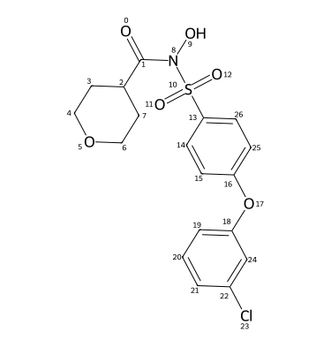 O=C(C1CCOCC1)N(O)S(=O)(=O)c1ccc(Oc2cccc(Cl)c2)cc1